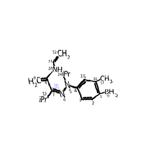 Bc1ccc(N(/N=C(\C(=C)NC=C)C(C)C)C(C)C)cc1C